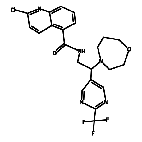 O=C(NCC(c1cnc(C(F)(F)F)nc1)N1CCCOCC1)c1cccc2nc(Cl)ccc12